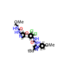 COCCNC(=O)Nc1cc(Oc2ccc(NC(=O)Nc3cc(C(C)(C)C)nn3-c3ccc(OC)cc3)c(Cl)c2Cl)ccn1